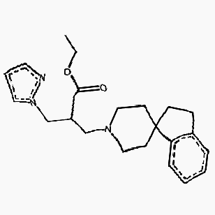 CCOC(=O)C(CN1CCC2(CCc3ccccc32)CC1)Cn1cccn1